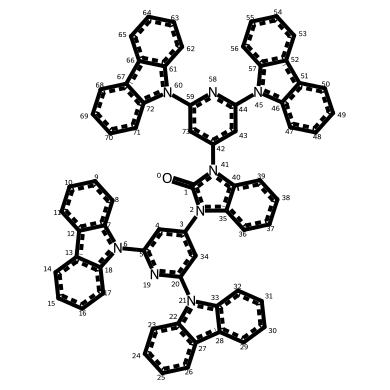 O=c1n(-c2cc(-n3c4ccccc4c4ccccc43)nc(-n3c4ccccc4c4ccccc43)c2)c2ccccc2n1-c1cc(-n2c3ccccc3c3ccccc32)nc(-n2c3ccccc3c3ccccc32)c1